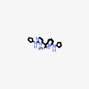 CC(C)c1nn2c(NC3CCCC3)cccc2c1-c1ccnc(NC2CCCC2)n1